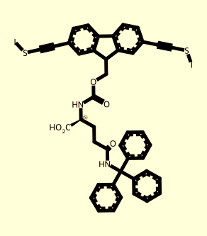 O=C(CC[C@H](NC(=O)OCC1c2cc(C#CSI)ccc2-c2ccc(C#CSI)cc21)C(=O)O)NC(c1ccccc1)(c1ccccc1)c1ccccc1